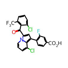 O=C(O)c1ccc(-c2cc(C(=O)c3c(Cl)cccc3C(F)(F)F)n3cccc(Cl)c23)c(F)c1